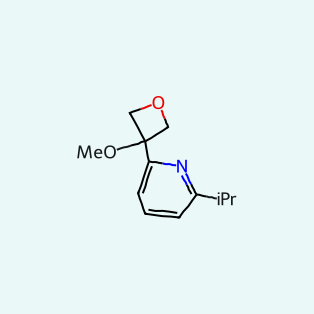 COC1(c2cccc(C(C)C)n2)COC1